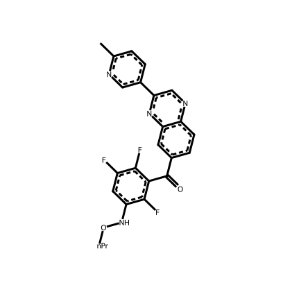 CCCONc1cc(F)c(F)c(C(=O)c2ccc3ncc(-c4ccc(C)nc4)nc3c2)c1F